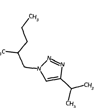 CCCC(C)Cn1cc(C(C)C)nn1